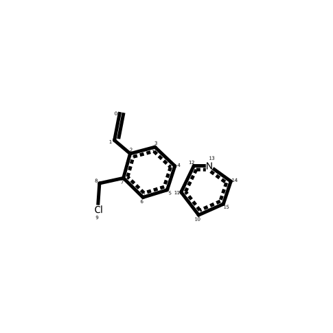 C=Cc1ccccc1CCl.c1ccncc1